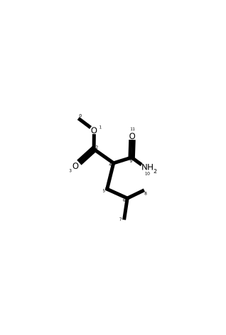 COC(=O)C(CC(C)C)C(N)=O